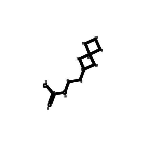 O=C(Cl)OCCC1CC2(CCC2)C1